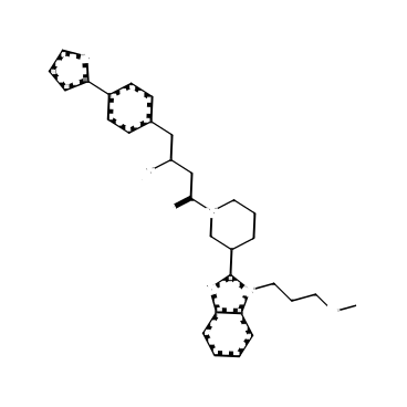 COCCCn1c(C2CCCN(C(=O)CC(N)Cc3ccc(-c4ccc[nH]4)cc3)C2)nc2ccccc21